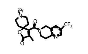 CC1=C(C(=O)N2CCc3ncc(C(F)(F)F)cc3C2)C2(CCN(C(C)C)CC2)OC1=O